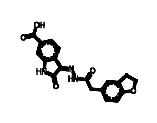 O=C(Cc1ccc2c(c1)CCO2)NN=C1C(=O)Nc2cc(C(=O)O)ccc21